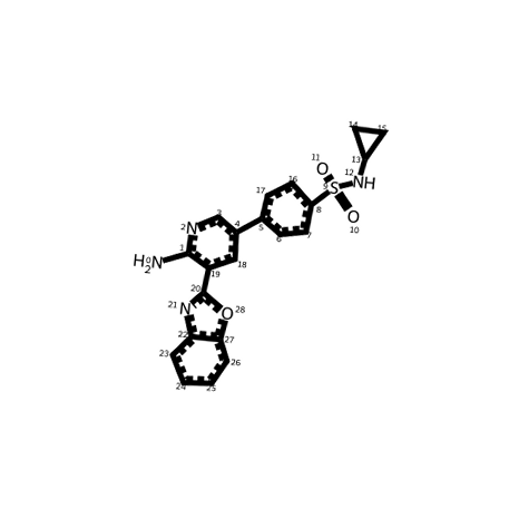 Nc1ncc(-c2ccc(S(=O)(=O)NC3CC3)cc2)cc1-c1nc2ccccc2o1